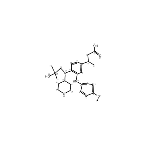 COc1ncc(Nc2cc(C(C)CC(=O)O)ccc2N(CC(C)(C)O)C2CCOCC2)cn1